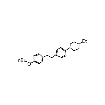 CCCCOc1ccc(CCc2ccc(C3CCC(CC)CC3)cc2)cc1